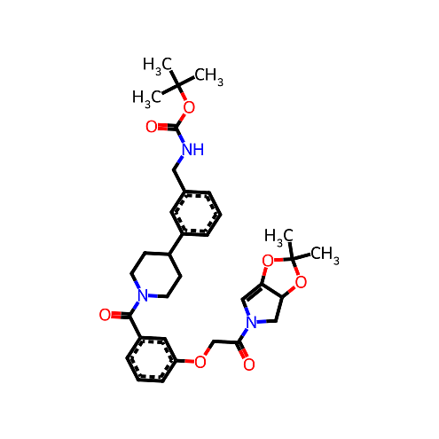 CC(C)(C)OC(=O)NCc1cccc(C2CCN(C(=O)c3cccc(OCC(=O)N4C=C5OC(C)(C)OC5C4)c3)CC2)c1